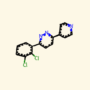 Clc1cccc(-c2ccc(-c3ccncc3)nn2)c1Cl